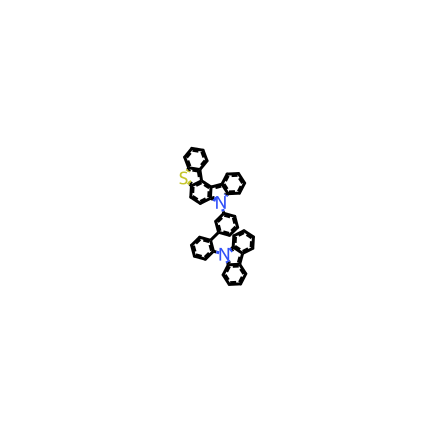 c1cc(-c2ccccc2-n2c3ccccc3c3ccccc32)cc(-n2c3ccccc3c3c4c(ccc32)sc2ccccc24)c1